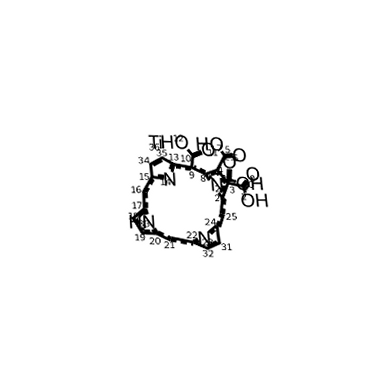 O=C(O)c1c(C(=O)O)c2c(C(=O)O)c3nc(cc4ccc(cc5nc(cc1n2C(=O)O)C=C5)[nH]4)C=C3.[Ti]